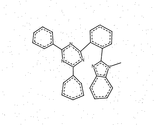 Cn1c(-c2ccccc2-c2nc(-c3ccccc3)nc(-c3ccccc3)n2)nc2ccccc21